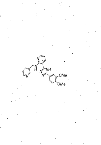 COc1ccc(-c2nnc(-c3cccnc3NCc3cccnc3)[nH]2)cc1OC